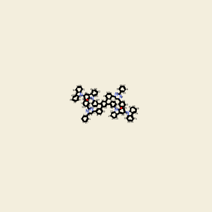 c1ccc(-c2cc(-c3cccc(-c4cc(-c5cccc(-n6c7ccccc7c7cc(-n8c9ccccc9c9ccccc98)ccc76)c5)c(-c5cccc(-c6cc(-c7ccccc7)nc(-c7ccccc7)n6)c5)cc4-c4cccc(-n5c6ccccc6c6cc(-n7c8ccccc8c8ccccc87)ccc65)c4)c3)nc(-c3ccccc3)n2)cc1